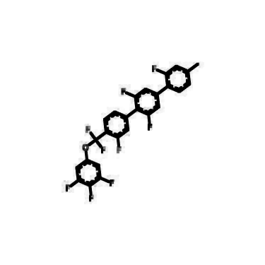 Cc1ccc(-c2cc(F)c(-c3ccc(C(F)(F)Oc4cc(F)c(F)c(F)c4)c(F)c3)c(F)c2)c(F)c1